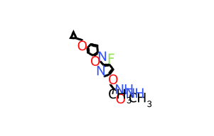 CNC(=O)N[C@@H](C)COc1cnc(-c2nc3ccc(OCC4CC4)cc3o2)c(F)c1